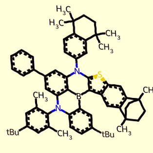 Cc1cc(C(C)(C)C)cc(C)c1N1c2ccc(C(C)(C)C)cc2B2c3c(cc(-c4ccccc4)cc31)N(c1ccc3c(c1)C(C)(C)CCC3(C)C)c1sc3cc4c(cc3c12)C1(C)CCC4(C)CC1